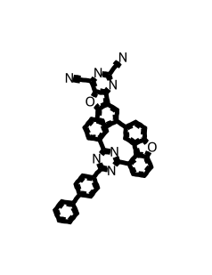 N#Cc1nc(C#N)c2oc3ccc(-c4ccc5oc6cccc(-c7nc(-c8ccccc8)nc(-c8ccc(-c9ccccc9)cc8)n7)c6c5c4)cc3c2n1